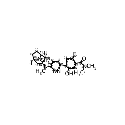 CN(C)C(=O)c1cc(O)c(-c2ccc(N(C)[C@@H]3C[C@H]4CC[C@@H]([C@@H]3F)N4C)nn2)cc1F